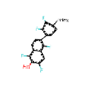 CCCCCCc1ccc(-c2ccc3c(F)c(O)c(F)cc3c2F)c(F)c1F